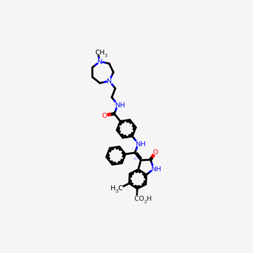 Cc1cc2c(cc1C(=O)O)NC(=O)/C2=C(\Nc1ccc(C(=O)NCCN2CCCN(C)CC2)cc1)c1ccccc1